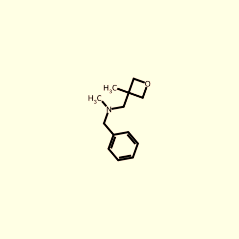 CN(Cc1ccccc1)CC1(C)COC1